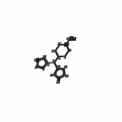 CCC(C)N1CCC(C(c2ccsc2)c2ccsc2)CC1